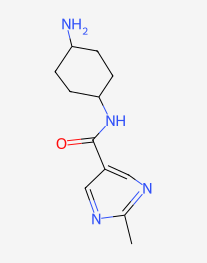 Cc1ncc(C(=O)NC2CCC(N)CC2)cn1